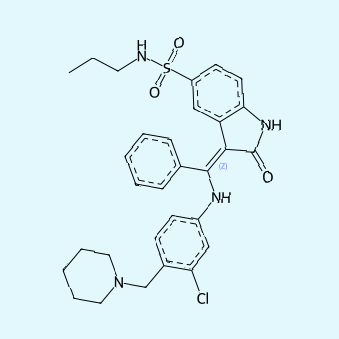 CCCNS(=O)(=O)c1ccc2c(c1)/C(=C(/Nc1ccc(CN3CCCCC3)c(Cl)c1)c1ccccc1)C(=O)N2